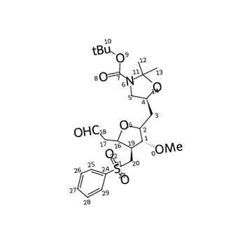 CO[C@H]1C(C[C@H]2CN(C(=O)OC(C)(C)C)C(C)(C)O2)OC(CC=O)[C@@H]1CS(=O)(=O)c1ccccc1